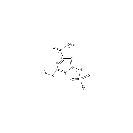 CCS(=O)(=O)Nc1cc(CO)cc(C(=O)OC)c1